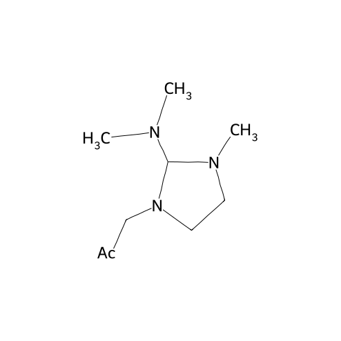 CC(=O)CN1CCN(C)C1N(C)C